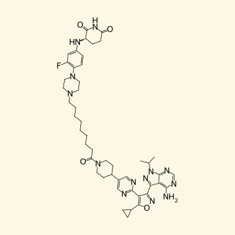 CC(C)n1nc(-c2noc(C3CC3)c2-c2ncc(C3CCN(C(=O)CCCCCCCCN4CCN(c5ccc(N[C@@H]6CCC(=O)NC6=O)cc5F)CC4)CC3)cn2)c2c(N)ncnc21